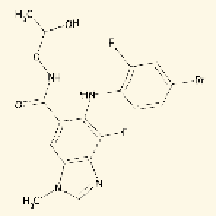 CC(O)ONC(=O)c1cc2c(ncn2C)c(F)c1Nc1ccc(Br)cc1F